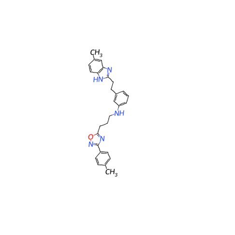 Cc1ccc(-c2noc(CCCNc3cccc(CCc4nc5cc(C)ccc5[nH]4)c3)n2)cc1